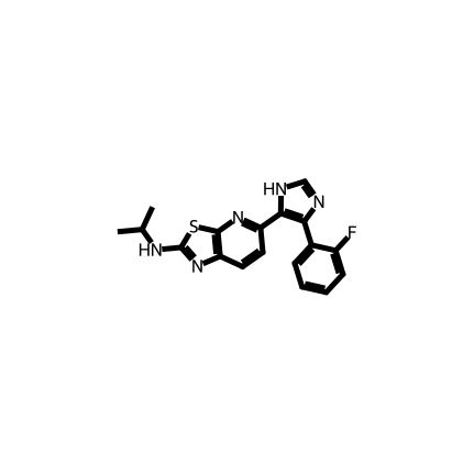 CC(C)Nc1nc2ccc(-c3[nH]cnc3-c3ccccc3F)nc2s1